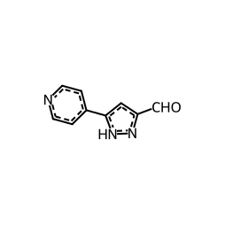 O=Cc1cc(-c2ccncc2)[nH]n1